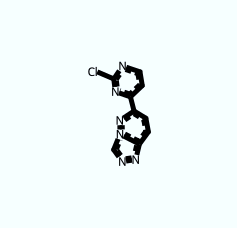 Clc1nccc(-c2ccc3nncn3n2)n1